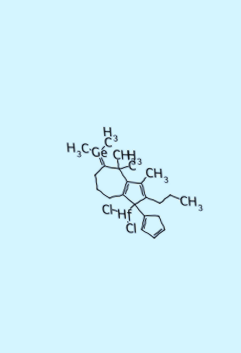 CCCC1=C(C)C2=C(CCC[C](=[Ge]([CH3])[CH3])C2(C)C)[C]1(C1=CC=CC1)[Hf]([Cl])[Cl]